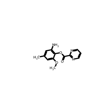 COc1cc(C)cc(N)c1OC(=O)c1ncccn1